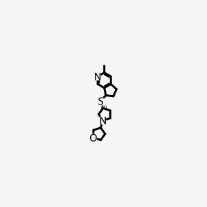 Cc1cc2c(cn1)C(S[C@@H]1CCN(C3CCOC3)C1)CC2